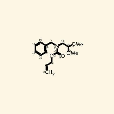 C=CCOC(=O)N(Cc1ccccc1)CC(OC)OC